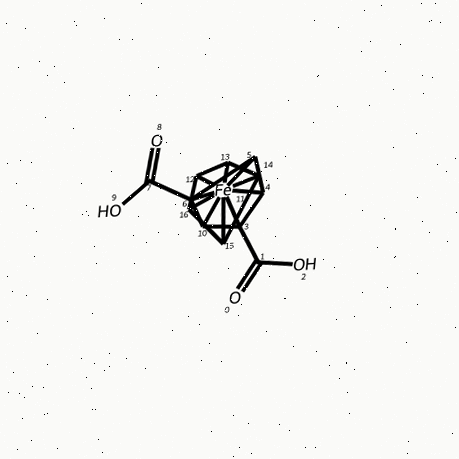 O=C(O)[C]12[CH]3[CH]4[C]5(C(=O)O)[CH]1[Fe]34251678[CH]2[CH]1[CH]6[CH]7[CH]28